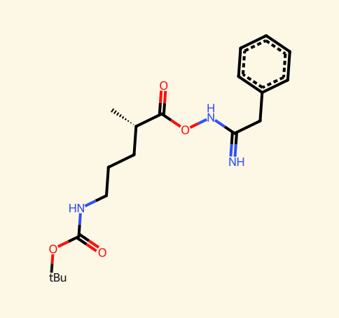 C[C@@H](CCCNC(=O)OC(C)(C)C)C(=O)ONC(=N)Cc1ccccc1